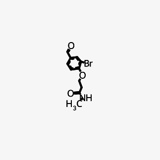 CNC(=O)CCOc1ccc(C=O)cc1Br